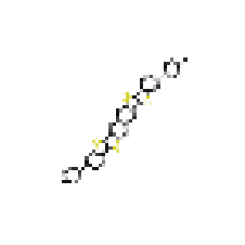 Cc1ccc(-c2ccc3c(c2)sc2c4cc5cc6sc7c8ccc(-c9ccc(C)cc9)cc8sc7c6cc5cc4sc32)cc1